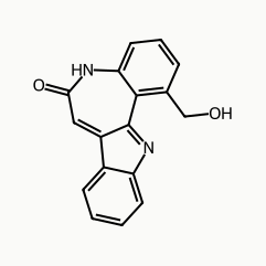 O=c1cc2c3ccccc3nc-2c2c(CO)cccc2[nH]1